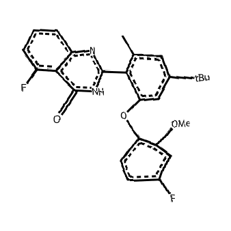 COc1cc(F)ccc1Oc1cc(C(C)(C)C)cc(C)c1-c1nc2cccc(F)c2c(=O)[nH]1